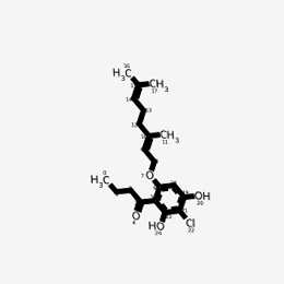 CCCC(=O)c1c(OC/C=C(\C)CCC=C(C)C)cc(O)c(Cl)c1O